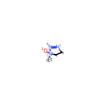 CC[N+]1([O-])CCN=N1